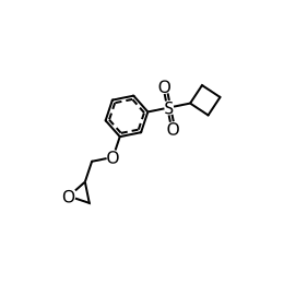 O=S(=O)(c1cccc(OCC2CO2)c1)C1CCC1